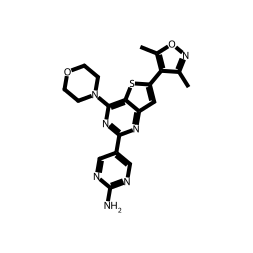 Cc1noc(C)c1-c1cc2nc(-c3cnc(N)nc3)nc(N3CCOCC3)c2s1